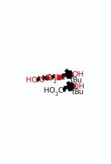 Cc1cc(O)c(C(C)(C)C)cc1CCC(=O)O.Cc1cc(O)c(C(C)(C)C)cc1CCC(=O)O.OCCOCCOCCO